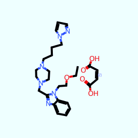 CCOCCn1c(CN2CCN(CCCCn3cccn3)CC2)nc2ccccc21.O=C(O)/C=C\C(=O)O